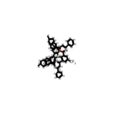 Cc1ccc(-c2ccc3c(c2)c2cc(-c4ccc(C)cc4)ccc2n3-c2c(-c3cc(-c4ccccc4)nc(-c4ccccc4)n3)cc(C(F)(F)F)cc2-c2nc(-c3ccccc3)cc(-c3ccccc3)n2)cc1